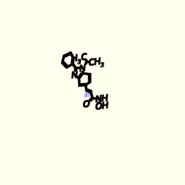 CC(C)n1c(-c2ccccc2)nc2cc(/C=C/C(=O)NO)ccc21